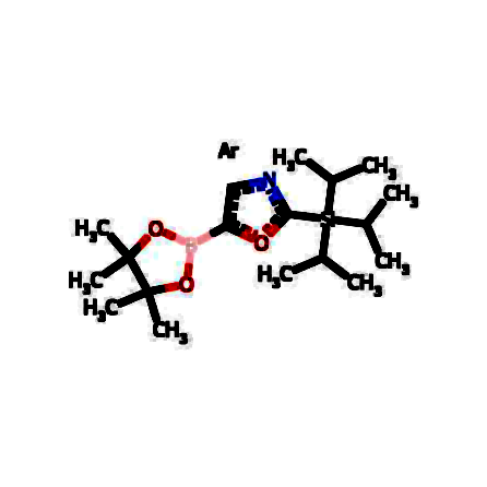 CC(C)[Si](c1ncc(B2OC(C)(C)C(C)(C)O2)o1)(C(C)C)C(C)C.[Ar]